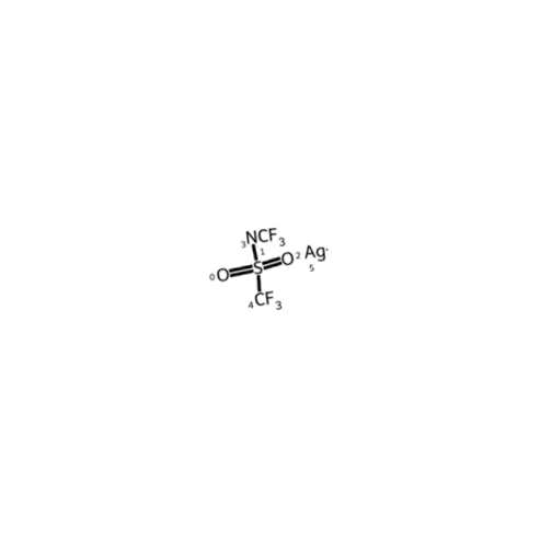 O=S(=O)(NC(F)(F)F)C(F)(F)F.[Ag]